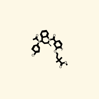 COC(=O)C(C)(C)CCOc1cc(C(=O)N2c3ccccc3C(N(C(C)=O)c3ccc(Cl)cc3)C[C@@H]2C)ccc1F